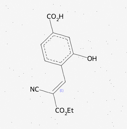 CCOC(=O)/C(C#N)=C/c1ccc(C(=O)O)cc1O